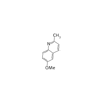 COc1ccc2nc(C)c[c]c2c1